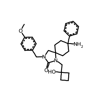 COc1ccc(CN2CC3(CCC(N)(c4ccccc4)CC3)N(CC3(O)CCC3)C2=O)cc1